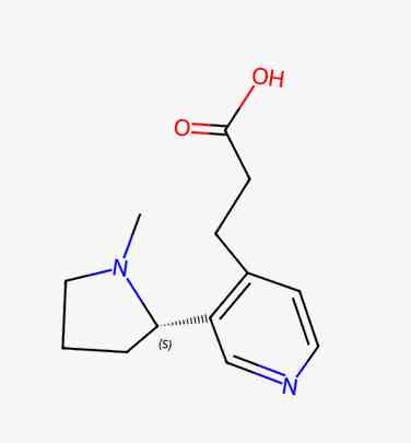 CN1CCC[C@H]1c1cnccc1CCC(=O)O